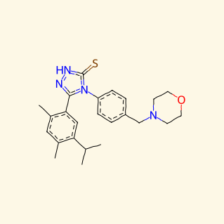 Cc1cc(C)c(C(C)C)cc1-c1n[nH]c(=S)n1-c1ccc(CN2CCOCC2)cc1